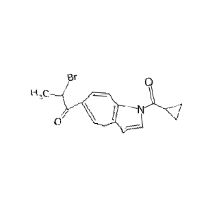 CC(Br)C(=O)c1ccc2c(ccn2C(=O)C2CC2)c1